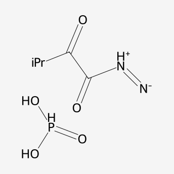 CC(C)C(=O)C(=O)[NH+]=[N-].O=[PH](O)O